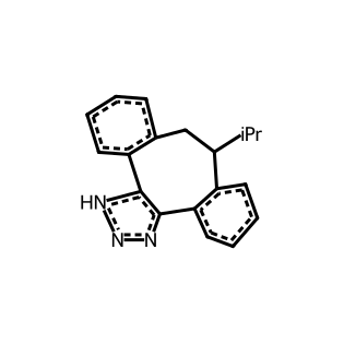 CC(C)C1Cc2ccccc2-c2[nH]nnc2-c2ccccc21